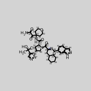 CC(C)(O)c1cnnn1[C@H]1C[C@@H](C(=O)NC2(C(=O)C(N)=O)CCOCC2)N(C(=O)/C(CC2CCCCC2)=N/C(=O)c2ccc3cn[nH]c3c2)C1